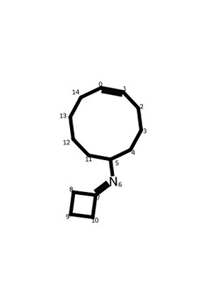 C1=C\CCCC(N=C2CCC2)CCCC/1